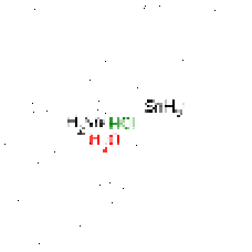 Cl.O.[SnH2].[SnH2]